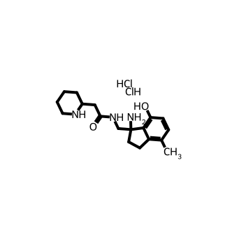 Cc1ccc(O)c2c1CCC2(N)CNC(=O)CC1CCCCN1.Cl.Cl